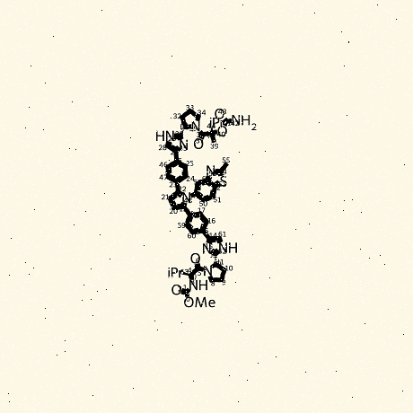 COC(=O)N[C@H](C(=O)N1CCC[C@H]1c1nc(-c2ccc(-c3ccc(-c4ccc(-c5c[nH]c([C@@H]6CCCN6C(=O)[C@@](C)(OC(N)=O)C(C)C)n5)cc4)n3-c3ccc4sc(C)nc4c3)cc2)c[nH]1)C(C)C